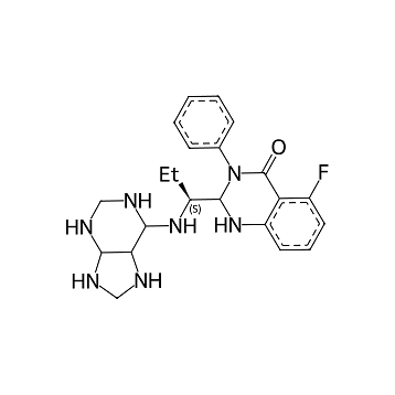 CC[C@H](NC1NCNC2NCNC21)C1Nc2cccc(F)c2C(=O)N1c1ccccc1